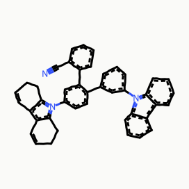 N#Cc1ccccc1-c1cc(-n2c3c(c4c2CCC=C4)C=CCC3)ccc1-c1cccc(-n2c3ccccc3c3ccccc32)c1